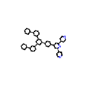 c1ccc(-c2cccc(-c3cc(-c4ccc(-c5cc(-c6ccncc6)nc(-c6ccncc6)c5)cc4)cc(-c4cccc(-c5ccccc5)c4)c3)c2)cc1